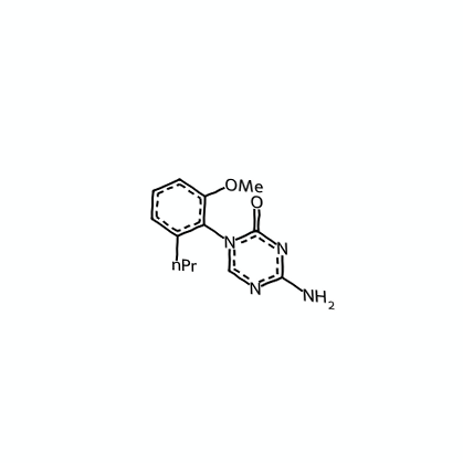 CCCc1cccc(OC)c1-n1cnc(N)nc1=O